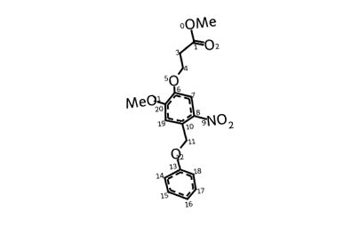 COC(=O)CCOc1cc([N+](=O)[O-])c(COc2ccccc2)cc1OC